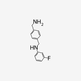 NCc1ccc(CNc2cccc(F)c2)cc1